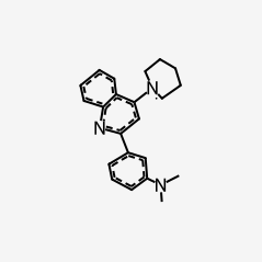 CN(C)c1cccc(-c2cc(N3[CH]CCCC3)c3ccccc3n2)c1